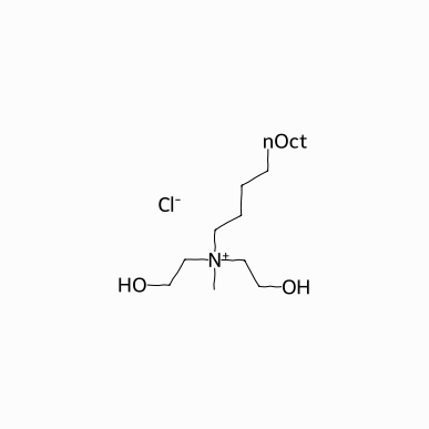 CCCCCCCCCCCC[N+](C)(CCO)CCO.[Cl-]